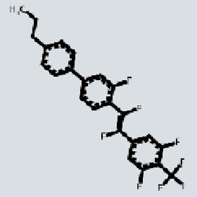 CCCc1ccc(-c2ccc(/C(F)=C(\F)c3cc(F)c(C(F)(F)F)c(F)c3)c(F)c2)cc1